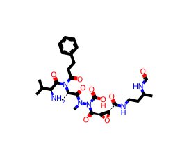 CC(CCNC(=O)[C@@H]1O[C@H]1C(=O)N(C(=O)O)N(C)C(=O)[C@H](C)N(C(=O)CCc1ccccc1)C(=O)[C@@H](N)C(C)C)NC=O